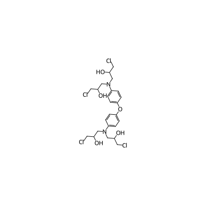 OC(CCl)CN(CC(O)CCl)c1ccc(Oc2ccc(N(CC(O)CCl)CC(O)CCl)cc2)cc1